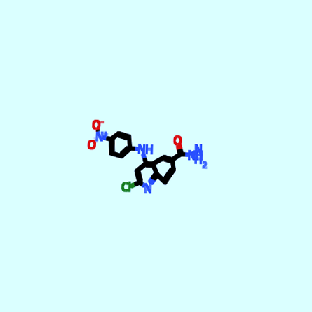 NNC(=O)c1ccc2nc(Cl)cc(Nc3ccc([N+](=O)[O-])cc3)c2c1